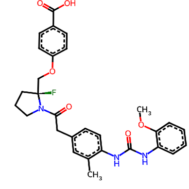 COc1ccccc1NC(=O)Nc1ccc(CC(=O)N2CCC[C@]2(F)COc2ccc(C(=O)O)cc2)cc1C